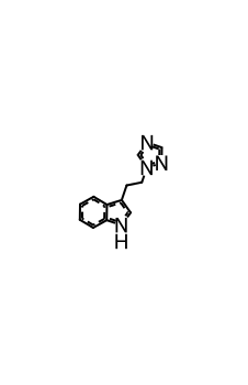 c1ccc2c(CCn3cncn3)c[nH]c2c1